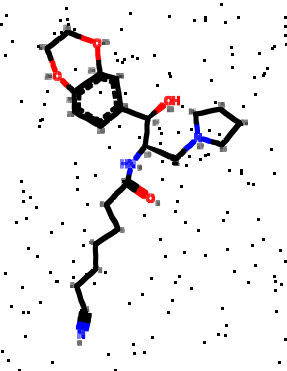 N#CCCCCCC(=O)N[C@H](CN1CCCC1)[C@H](O)c1ccc2c(c1)OCCO2